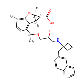 Cc1ccc([C@@H](C)OCC(O)CNC2(Cc3ccc4ccccc4c3)CCC2)c2c1O[C@H]1[C@H](C(=O)O)[C@@H]21